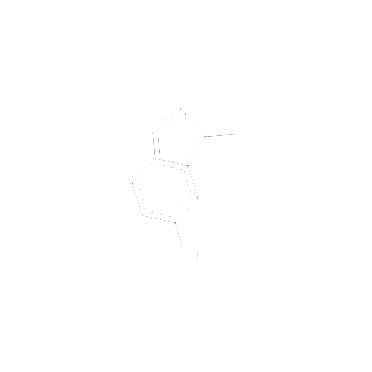 Cc1ccc2onc(I)c2c1